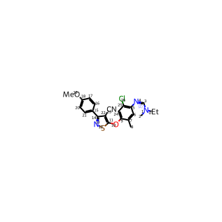 CCN(C)/C=N\c1cc(C)c(Oc2snc(-c3ccc(OC)cc3)c2C#N)cc1Cl